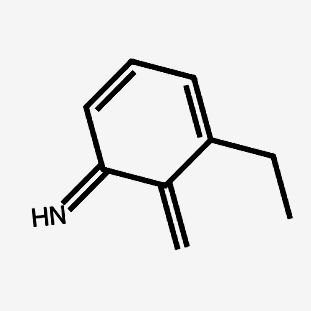 C=C1C(=N)C=CC=C1CC